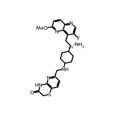 COc1ccc2ncc(F)c(C[C@H](N)C3CCC(NCc4ccc5c(n4)NC(=O)CS5)CC3)c2n1